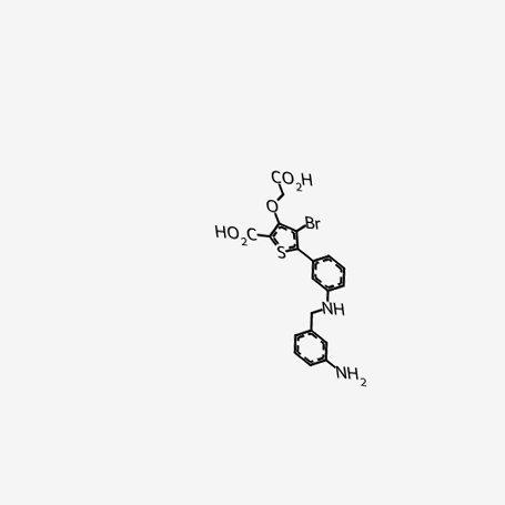 Nc1cccc(CNc2cccc(-c3sc(C(=O)O)c(OCC(=O)O)c3Br)c2)c1